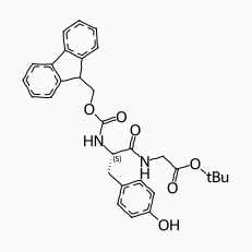 CC(C)(C)OC(=O)CNC(=O)[C@H](Cc1ccc(O)cc1)NC(=O)OCC1c2ccccc2-c2ccccc21